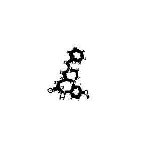 COc1ccc2c(c1)N1CCN(Cc3ccccc3)CC1CC(=O)N2